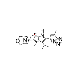 CCCN1C2COCC1CC(c1sc3[nH]c(-c4cc(C)c5ncnn5c4)c(C(C)C)c3c1C)C2